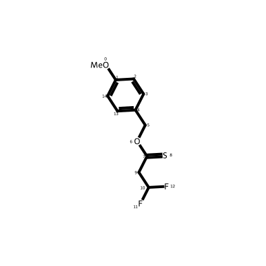 COc1ccc(COC(=S)CC(F)F)cc1